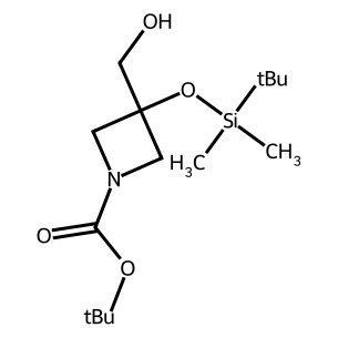 CC(C)(C)OC(=O)N1CC(CO)(O[Si](C)(C)C(C)(C)C)C1